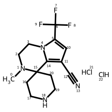 CN1CCn2c(C(F)(F)F)cc(C#N)c2C12CCNCC2.Cl.Cl